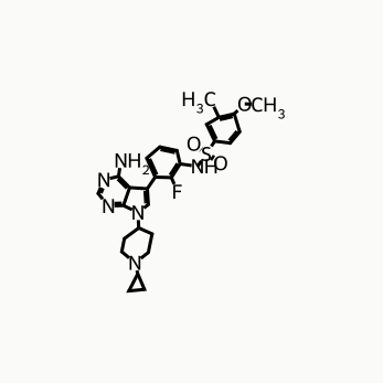 COc1ccc(S(=O)(=O)Nc2cccc(-c3cn(C4CCN(C5CC5)CC4)c4ncnc(N)c34)c2F)cc1C